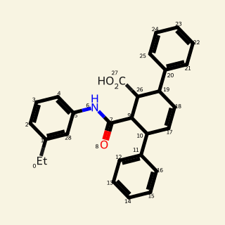 CCc1cccc(NC(=O)C2C(c3ccccc3)C=CC(c3ccccc3)C2C(=O)O)c1